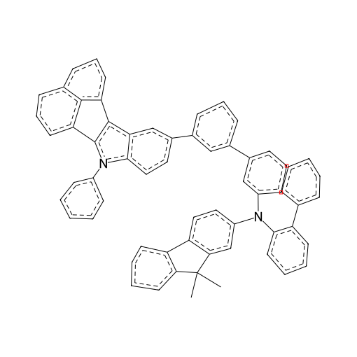 CC1(C)c2ccccc2-c2ccc(N(c3cccc(-c4cccc(-c5ccc6c(c5)c5c(n6-c6ccccc6)-c6cccc7cccc-5c67)c4)c3)c3ccccc3-c3ccccc3)cc21